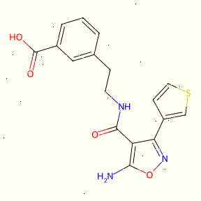 Nc1onc(-c2ccsc2)c1C(=O)NCCc1cccc(C(=O)O)c1